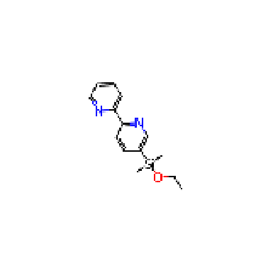 CCO[Si](C)(C)c1ccc(-c2ccccn2)nc1